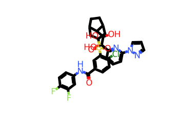 O=C(Nc1ccc(F)c(F)c1)c1ccc(Cl)c(S(=O)(=O)C2CC3CCC(C2)C3(O)C(O)C(O)c2cccc(-n3cccn3)n2)c1